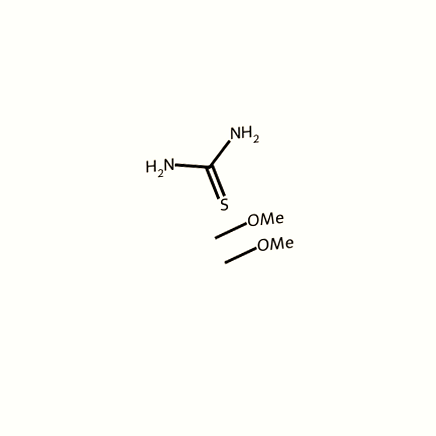 COC.COC.NC(N)=S